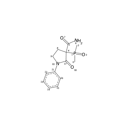 CP(C)(=O)C1(C(N)=O)CCN(c2ccccc2)C1=O